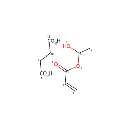 C=CC(=O)OC(C)O.O=C(O)CCC(=O)O